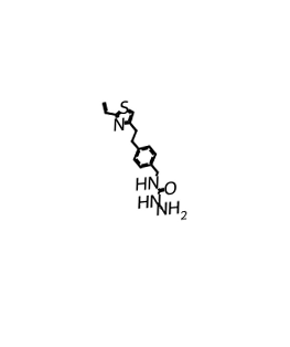 C=Cc1nc(CCc2ccc(CNC(=O)NN)cc2)cs1